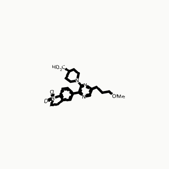 COCCCc1cnc(-c2ccc3c(c2)CCS3(=O)=O)c(N2CCC(C(=O)O)CC2)n1